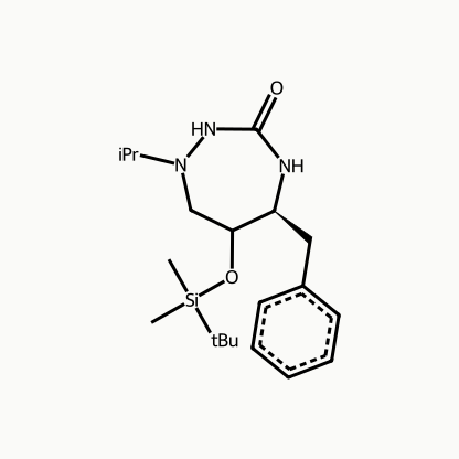 CC(C)N1CC(O[Si](C)(C)C(C)(C)C)[C@H](Cc2ccccc2)NC(=O)N1